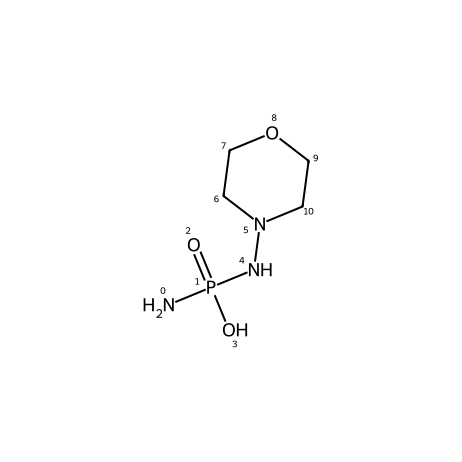 NP(=O)(O)NN1CCOCC1